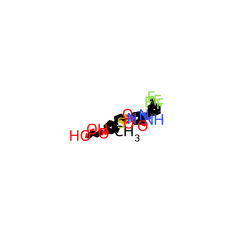 Cc1cc(OCCC(O)CO)ccc1-c1ccc(S(=O)(=O)N2CCC3(CC2)N=C(c2ccc(F)c(C(F)(F)F)c2)NC3=O)s1